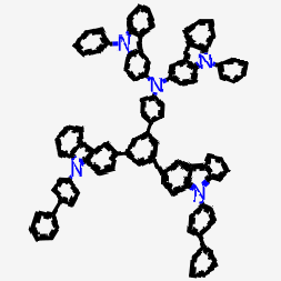 c1ccc(-c2ccc(-n3c4ccccc4c4cc(-c5cc(-c6ccc(N(c7ccc8c(c7)c7ccccc7n8-c7ccccc7)c7ccc8c(c7)c7ccccc7n8-c7ccccc7)cc6)cc(-c6ccc7c(c6)c6ccccc6n7-c6ccc(-c7ccccc7)cc6)c5)ccc43)cc2)cc1